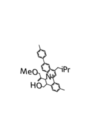 C=C(COC)C1C(CO)c2ccc(C)cc2-c2cc(CC(C)C)c3cc(-c4ccc(C)cc4)ccc3[n+]21